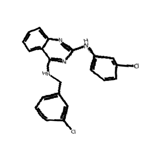 Clc1cccc(CNc2nc(Nc3cccc(Cl)c3)nc3ccccc23)c1